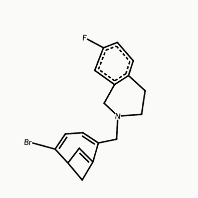 Fc1ccc2c(c1)CN(CC1=CC=C(Br)C3C=C1C3)CC2